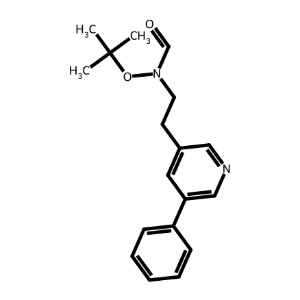 CC(C)(C)ON(C=O)CCc1cncc(-c2ccccc2)c1